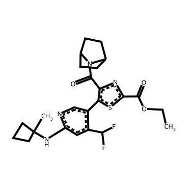 CCOC(=O)c1nc(C(=O)N2C3CCC2CC3)c(-c2cnc(NC3(C)CCC3)cc2C(F)F)s1